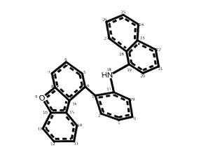 c1ccc(-c2cccc3oc4ccccc4c23)c(Nc2cccc3ccccc23)c1